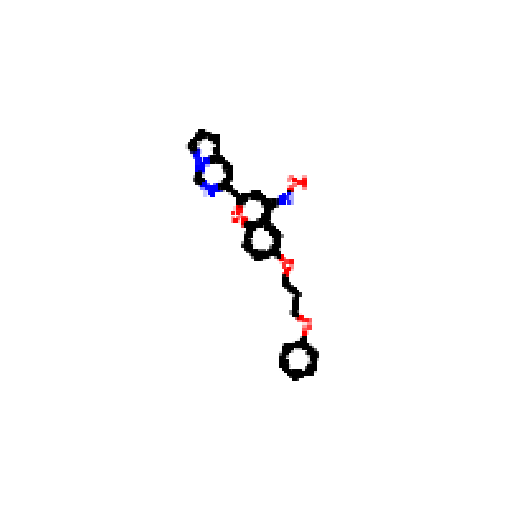 ON=c1cc(-c2cc3cccn3cn2)oc2ccc(OCCCOc3ccccc3)cc12